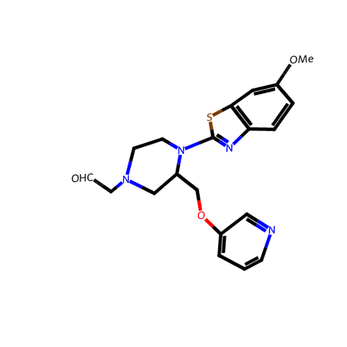 COc1ccc2nc(N3CCN(CC=O)CC3COc3cccnc3)sc2c1